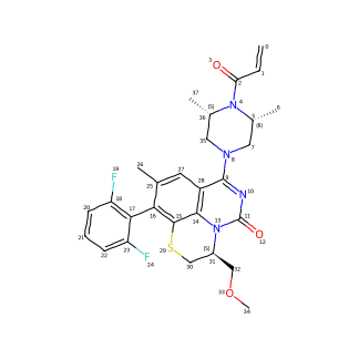 C=CC(=O)N1[C@H](C)CN(c2nc(=O)n3c4c(c(-c5c(F)cccc5F)c(C)cc24)SC[C@@H]3COC)C[C@@H]1C